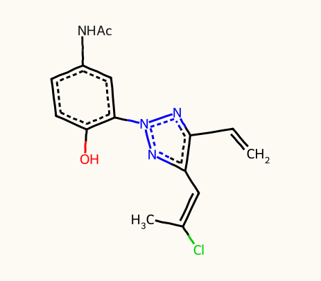 C=Cc1nn(-c2cc(NC(C)=O)ccc2O)nc1/C=C(\C)Cl